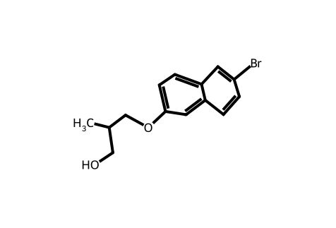 CC(CO)COc1ccc2cc(Br)ccc2c1